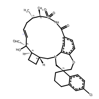 C[C@@H]1[C@@H](C)C/C=C/[C@@](O)(C=O)[C@@H]2CC[C@H]2CN2C[C@@]3(CCCc4cc(Cl)ccc43)COc3ccc(cc32)C(=O)NS1(=O)=O